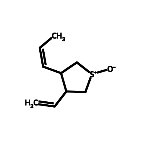 C=CC1C[S+]([O-])CC1/C=C\C